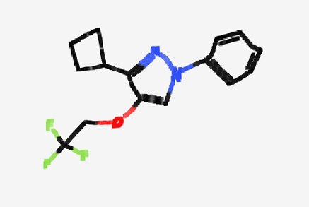 FC(F)(F)COc1cn(-c2ccccc2)nc1C1CCC1